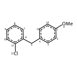 COc1ccc(Cc2cc[c]cc2Cl)cc1